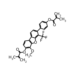 C=C(C)C(=O)Oc1ccc(-c2ccc3c(oc4c(OC)c(OC(=O)C(=C)C)ccc43)c2C(F)(F)F)cc1